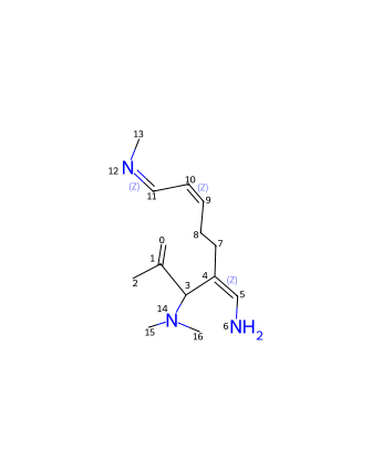 C=C(C)C(/C(=C\N)CC/C=C\C=N/C)N(C)C